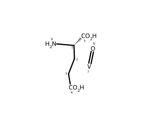 N[C@@H](CCC(=O)O)C(=O)O.[O]=[V]